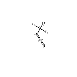 CCC(F)(F)N=[N+]=[N-]